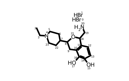 Br.Br.CCN1CCC(C2Cc3c(ccc(O)c3O)C(CN)O2)CC1